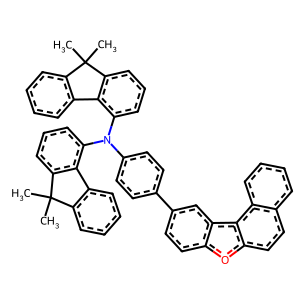 CC1(C)c2ccccc2-c2c(N(c3ccc(-c4ccc5oc6ccc7ccccc7c6c5c4)cc3)c3cccc4c3-c3ccccc3C4(C)C)cccc21